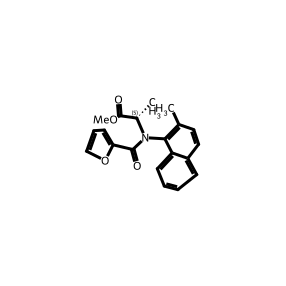 COC(=O)[C@H](C)N(C(=O)c1ccco1)c1c(C)ccc2ccccc12